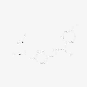 CCc1ccc([C@@H](O)NOc2ccc(C[C@@H](C=O)SC(N)=O)cc2)nc1